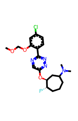 COCOc1cc(Cl)ccc1-c1ncc(O[C@H]2CC(N(C)C)CCC[C@@H]2F)nn1